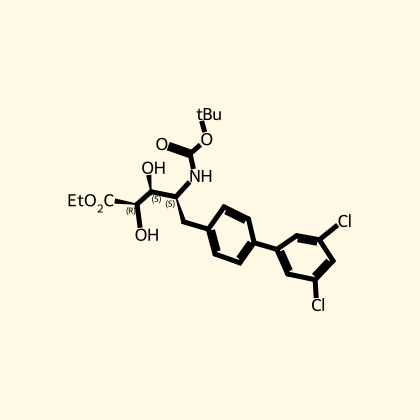 CCOC(=O)[C@H](O)[C@@H](O)[C@H](Cc1ccc(-c2cc(Cl)cc(Cl)c2)cc1)NC(=O)OC(C)(C)C